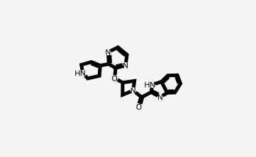 O=C(c1nc2ccccc2[nH]1)N1CC(Oc2nccnc2C2=CCNCC2)C1